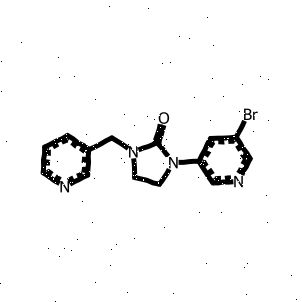 O=C1N(Cc2cccnc2)CCN1c1cncc(Br)c1